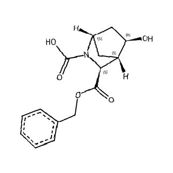 O=C(OCc1ccccc1)[C@@H]1[C@@H]2C[C@@H](C[C@H]2O)N1C(=O)O